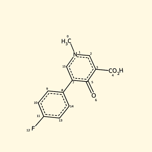 Cn1cc(C(=O)O)c(=O)c(-c2ccc(F)cc2)c1